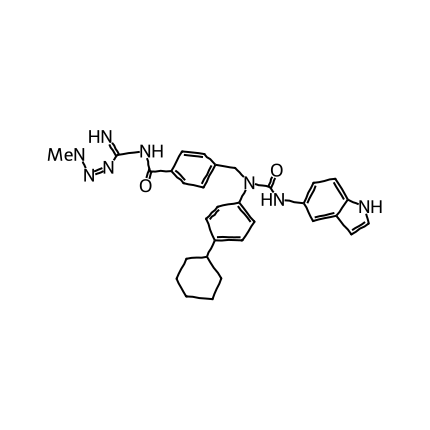 CN/N=N\C(=N)NC(=O)c1ccc(CN(C(=O)Nc2ccc3[nH]ccc3c2)c2ccc(C3CCCCC3)cc2)cc1